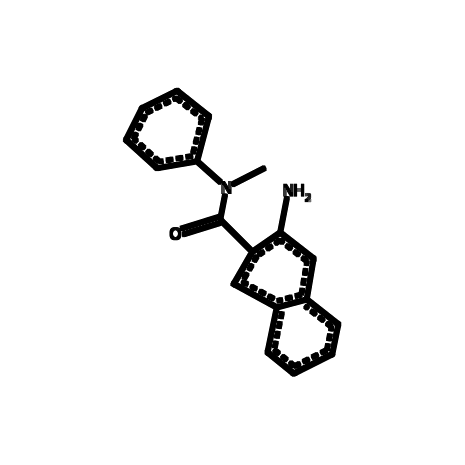 CN(C(=O)c1cc2ccccc2cc1N)c1ccccc1